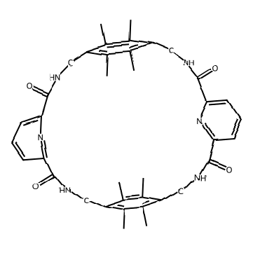 Cc1c(C)c2c(C)c(C)c1CNC(=O)c1cccc(n1)C(=O)NCc1c(C)c(C)c(c(C)c1C)CNC(=O)c1cccc(n1)C(=O)NC2